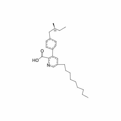 CCCCCCCCCc1cnc(C(=O)O)c(-c2ccc(C[C@@H](C)CC)cc2)c1